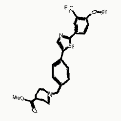 COC(=O)C1CN(Cc2ccc(-c3cnc(-c4ccc(OC(C)C)c(C(F)(F)F)c4)[se]3)cc2)C1